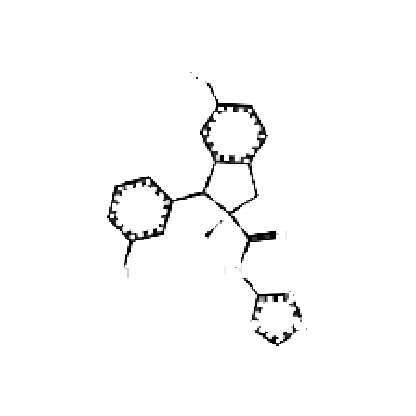 C[C@]1(C(=O)Nc2nncs2)Cc2ccc(C#N)cc2C1c1cccc(Cl)c1